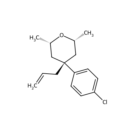 C=CC[C@]1(c2ccc(Cl)cc2)C[C@@H](C)O[C@@H](C)C1